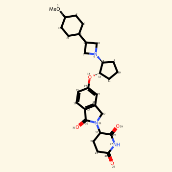 COC1CCC(C2CN([C@H]3CCC[C@@H]3Oc3ccc4c(c3)CN(C3CCC(=O)NC3=O)C4=O)C2)CC1